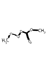 COOOC(=O)OC